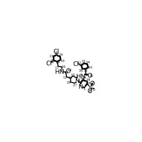 CS(=O)(=O)c1cnc(N2CCC(CC(=O)NCCc3ccc(Cl)cc3Cl)CC2)c(NC(=O)c2cccc(Cl)c2)c1